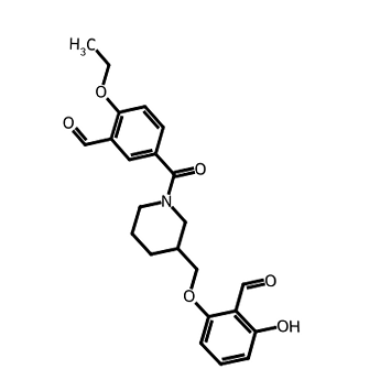 CCOc1ccc(C(=O)N2CCCC(COc3cccc(O)c3C=O)C2)cc1C=O